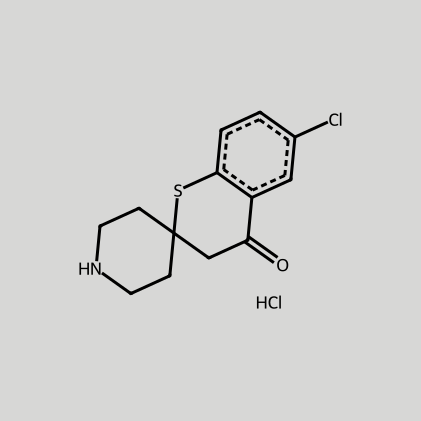 Cl.O=C1CC2(CCNCC2)Sc2ccc(Cl)cc21